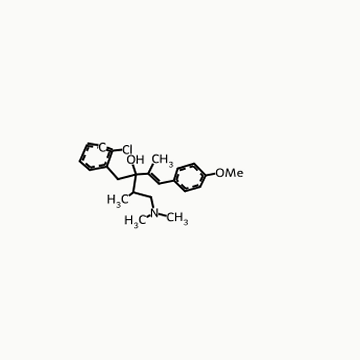 COc1ccc(/C=C(\C)C(O)(Cc2ccccc2Cl)C(C)CN(C)C)cc1